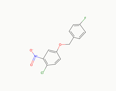 O=[N+]([O-])c1cc(OCc2ccc(F)cc2)ccc1Cl